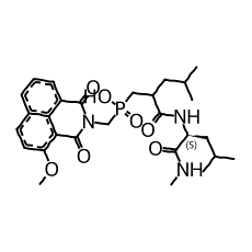 CNC(=O)[C@H](CC(C)C)NC(=O)C(CC(C)C)CP(=O)(O)CN1C(=O)c2cccc3ccc(OC)c(c23)C1=O